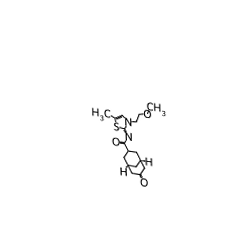 COCCn1cc(C)sc1=NC(=O)C1C[C@H]2CC(=O)C[C@@H](C1)C2